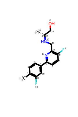 Cc1ccc(-c2ccc(F)c(CN[C@@H](CO)C(C)C)n2)cc1F